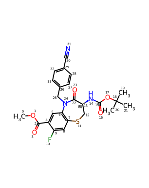 COC(=O)c1cc2c(cc1F)SC[C@H](NC(=O)OC(C)(C)C)C(=O)N2Cc1ccc(C#N)cc1